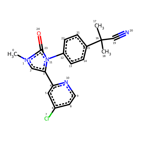 Cn1cc(-c2cc(Cl)ccn2)n(-c2ccc(C(C)(C)C#N)cc2)c1=O